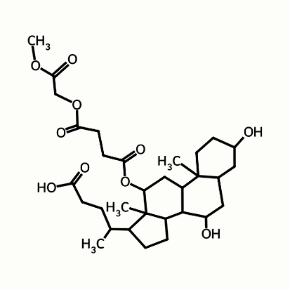 COC(=O)COC(=O)CCC(=O)OC1CC2C(C(O)CC3CC(O)CCC32C)C2CCC(C(C)CCC(=O)O)C12C